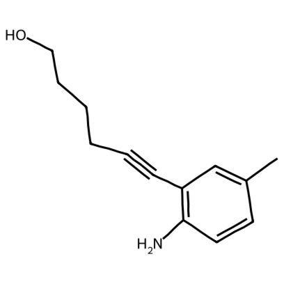 Cc1ccc(N)c(C#CCCCCO)c1